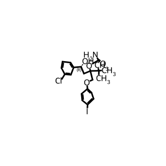 CC(C)(C)C(COc1ccc(I)cc1)(C[C@@H](O)c1cccc(Cl)c1)OC(N)=O